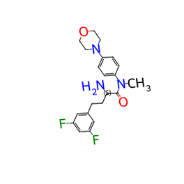 CN(C(=O)[C@@H](N)CCc1cc(F)cc(F)c1)c1ccc(N2CCOCC2)cc1